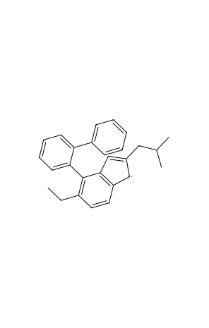 CCc1ccc2c(c1-c1ccccc1-c1ccccc1)C=C(CC(C)C)[CH]2